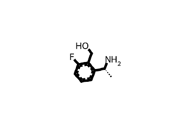 C[C@@H](N)c1cccc(F)c1CO